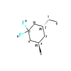 CC[C@@H]1C[C@@H](C)CC(F)(F)C1